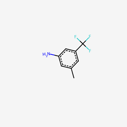 Cc1cc(N)cc(C(F)(F)F)c1